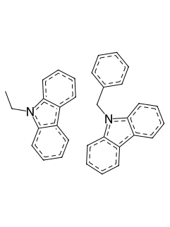 CCn1c2ccccc2c2ccccc21.c1ccc(Cn2c3ccccc3c3ccccc32)cc1